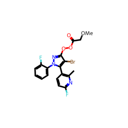 COCC(=O)OOc1nn(-c2ccccc2F)c(-c2ccc(F)nc2C)c1Br